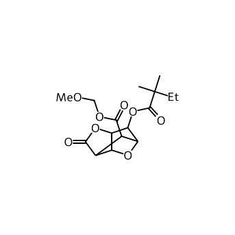 CCC(C)(C)C(=O)OC1C2OC(=O)C3C2OC1C3C(=O)OCOC